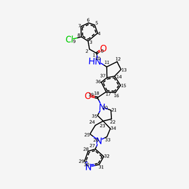 O=C(Cc1ccccc1Cl)NC1CCc2ccc(C(=O)N3CCC4(CCN(c5ccncc5)CC4)C3)cc21